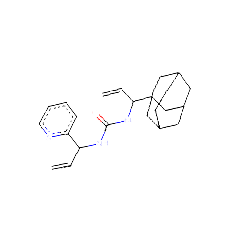 C=CC(NC(=O)NC(C=C)C12CC3CC(CC(C3)C1)C2)c1ccccn1